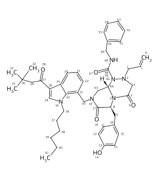 C=CCN1CC(=O)N2[C@@H](Cc3ccc(O)cc3)C(=O)N(Cc3cccc4c(C(=O)CC(C)(C)C)cn(CCCCCC)c34)C[C@@H]2N1C(=O)NCc1ccccc1